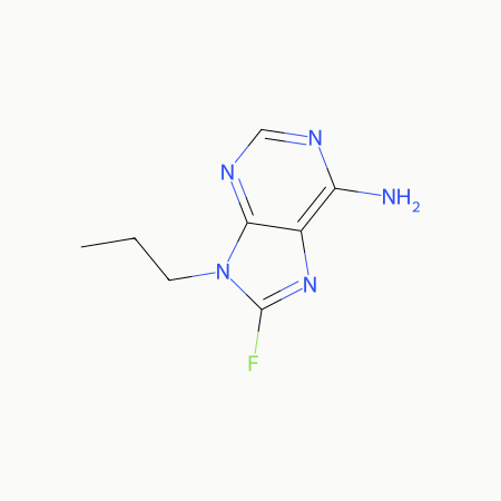 CCCn1c(F)nc2c(N)ncnc21